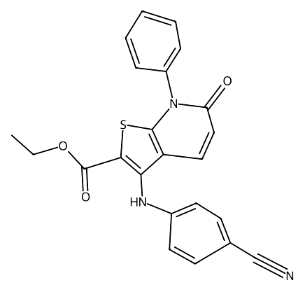 CCOC(=O)c1sc2c(ccc(=O)n2-c2ccccc2)c1Nc1ccc(C#N)cc1